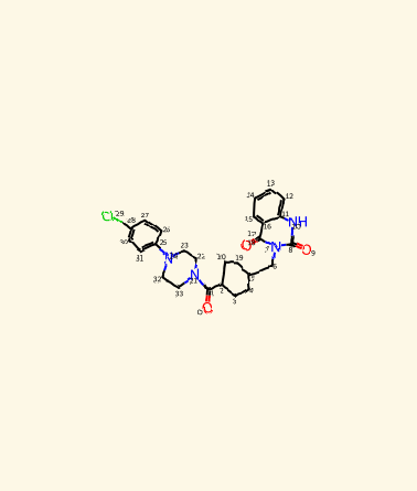 O=C(C1CCC(Cn2c(=O)[nH]c3ccccc3c2=O)CC1)N1CCN(c2ccc(Cl)cc2)CC1